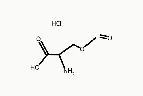 Cl.NC(COP=O)C(=O)O